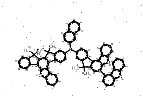 CC1(C)c2cc(N(c3ccc4c(c3)C(C)(C)c3c5c(c6oc7ccccc7c6c3-4)-c3ccccc3C5(C)C)c3ccc4ccccc4c3)ccc2-c2c1cc(-c1cccc3oc4ccccc4c13)c1oc3ccccc3c21